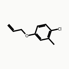 C=CCOc1ccc(Cl)c(C)c1